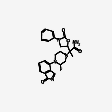 CC(C(N)=O)(C1CN(c2ccccc2)C(=O)O1)N1CCN(c2cccc3c2C=NC3=O)C(F)C1